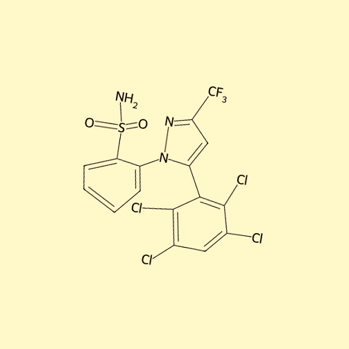 NS(=O)(=O)c1ccccc1-n1nc(C(F)(F)F)cc1-c1c(Cl)c(Cl)cc(Cl)c1Cl